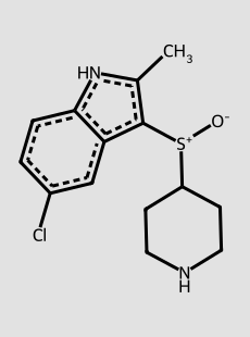 Cc1[nH]c2ccc(Cl)cc2c1[S+]([O-])C1CCNCC1